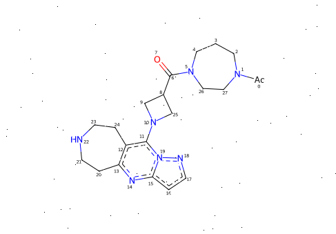 CC(=O)N1CCCN(C(=O)C2CN(c3c4c(nc5ccnn35)CCNCC4)C2)CC1